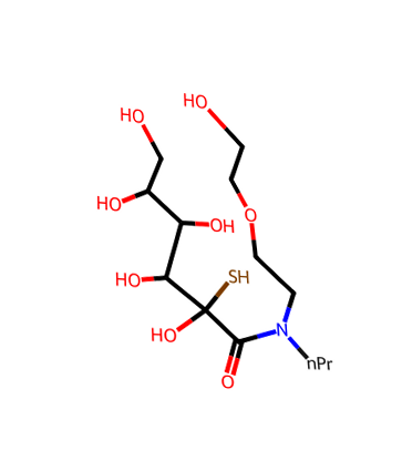 CCCN(CCOCCO)C(=O)C(O)(S)C(O)C(O)C(O)CO